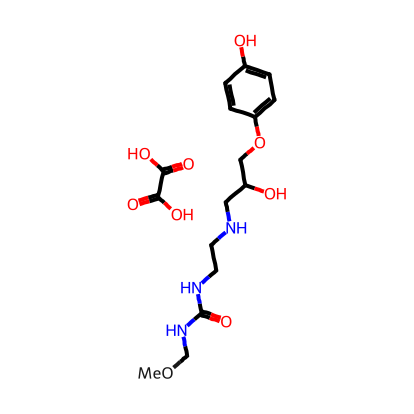 COCNC(=O)NCCNCC(O)COc1ccc(O)cc1.O=C(O)C(=O)O